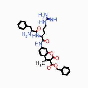 Cc1c(C(=O)OCc2ccccc2)c(=O)oc2cc(NC(=O)[C@H](CCCNC(=N)N)NC(=O)[C@@H](N)Cc3ccccc3)ccc12